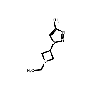 CCN1CC(n2cc(C)nn2)C1